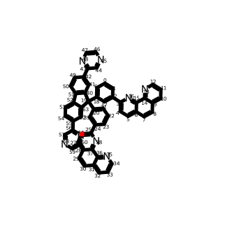 c1cc(-c2ccc3ccc4cccnc4c3n2)cc(C2(c3cccc(-c4ccc5ccc6cccnc6c5n4)c3)c3cc(-c4cnccn4)ccc3-c3ccc(-c4cnccn4)cc32)c1